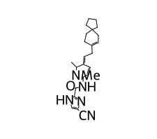 CNC(C)C(/C=C\CNC(=O)c1nc(C#N)c[nH]1)=C/CC1=CCC2(CCCC2)CC1